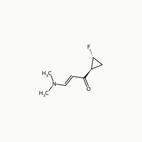 CN(C)C=CC(=O)[C@@H]1C[C@H]1F